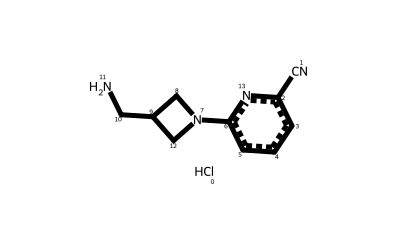 Cl.N#Cc1cccc(N2CC(CN)C2)n1